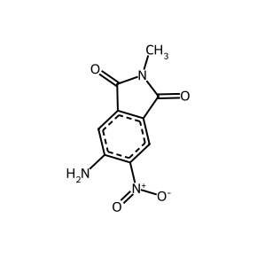 CN1C(=O)c2cc(N)c([N+](=O)[O-])cc2C1=O